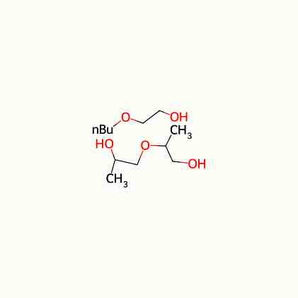 CC(O)COC(C)CO.CCCCOCCO